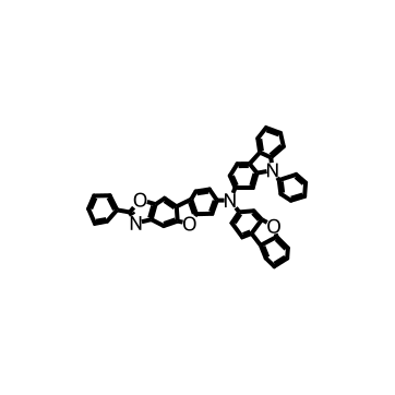 c1ccc(-c2nc3cc4oc5cc(N(c6ccc7c(c6)oc6ccccc67)c6ccc7c8ccccc8n(-c8ccccc8)c7c6)ccc5c4cc3o2)cc1